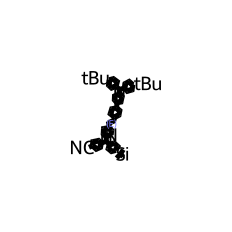 CC(C)(C)c1ccc(N(c2ccc(-c3ccc(/C=C/c4ccc(N(c5ccc(C#N)cc5)c5ccc([Si](C)(C)C)cc5)nc4)cc3)cc2)c2ccc(C(C)(C)C)cc2)cc1